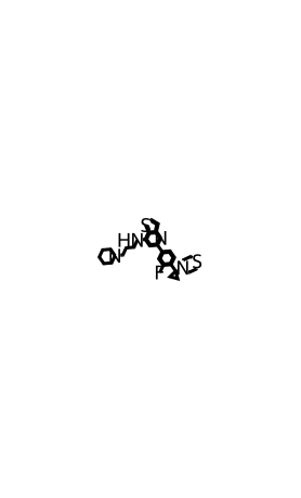 Fc1cc(-c2cc(NCCCN3CCCCC3)c3sccc3n2)ccc1C1(N2CCSCC2)CC1